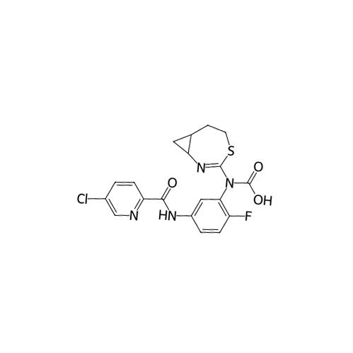 O=C(Nc1ccc(F)c(N(C(=O)O)C2=NC3CC3CCS2)c1)c1ccc(Cl)cn1